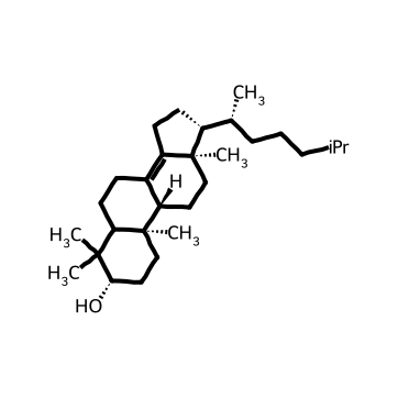 CC(C)CCC[C@@H](C)[C@H]1CCC2=C3CCC4C(C)(C)[C@@H](O)CC[C@]4(C)[C@H]3CC[C@@]21C